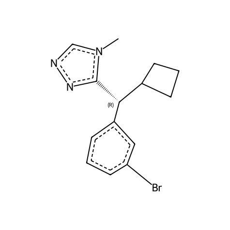 Cn1cnnc1[C@@H](c1cccc(Br)c1)C1CCC1